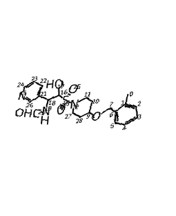 Cc1ccccc1COC1CCN(S(=O)(=O)C(O)C(NC=O)c2cccnc2)CC1